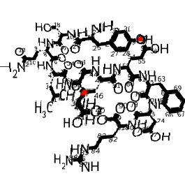 CC(C)C[C@H](NC(=O)[C@H](CCC(N)=O)NC(=O)[C@H](CO)NC(=O)[C@@H](N)Cc1ccc(O)cc1)C(=O)N[C@@H](CCC(=O)O)C(=O)N[C@@H](CC(N)=O)C(=O)N[C@@H](CCC(=O)O)C(=O)N[C@@H](Cc1ccccc1)C(=O)N[C@@H](CC(=O)O)C(=O)N[C@@H](CCCNC(=N)N)C(=O)O